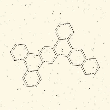 c1ccc2cc3c(cc2c1)c1ccccc1c1cc2c4ccccc4c4ccccc4c2cc31